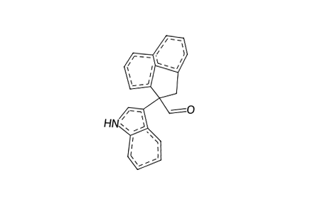 O=CC1(c2c[nH]c3ccccc23)Cc2cccc3cccc1c23